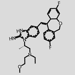 CCN(CCOC)C[C@H](C)n1c(=N)[nH]c2cc(/C=C3\c4ccc(F)cc4COC4C=C(F)C=CC34)ccc21